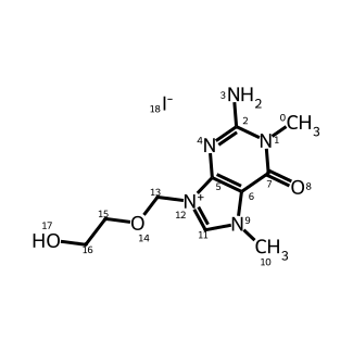 Cn1c(N)nc2c(c1=O)n(C)c[n+]2COCCO.[I-]